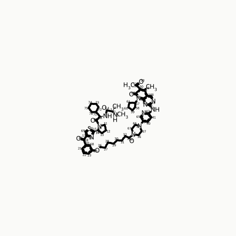 CN[C@@H](C)C(=O)N[C@H](C(=O)N1CCC[C@H]1c1nc(C(=O)c2cccc(OCCCCCCCC(=O)N3CCN(c4ccc(Nc5ncc6c(C)c(C(C)=O)c(=O)n(C7CCCC7)c6n5)nc4)CC3)c2)cs1)C1CCCCC1